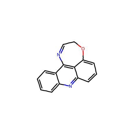 C1=Nc2c3ccccc3nc3cccc(c23)OC1